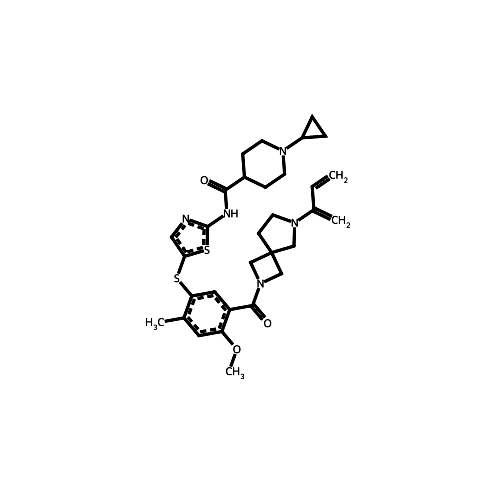 C=CC(=C)N1CCC2(C1)CN(C(=O)c1cc(Sc3cnc(NC(=O)C4CCN(C5CC5)CC4)s3)c(C)cc1OC)C2